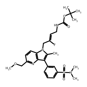 COCc1ccc2c(n1)c(-c1cccc(S(=O)(=O)N(C)C)c1)c(C)n2C/C(F)=C/CNC(=O)OC(C)(C)C